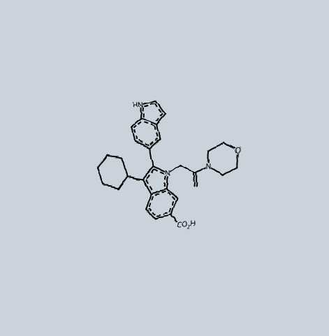 C=C(Cn1c(-c2ccc3[nH]ccc3c2)c(C2CCCCC2)c2ccc(C(=O)O)cc21)N1CCOCC1